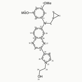 COc1cc(OC)cc(N(CC2CC2)c2ccc3ncc(-c4ccn(CCO)c4)nc3c2)c1